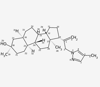 C=C(Cn1cc(C)cn1)[C@H]1CC[C@H]2[C@@H]3CC[C@@H]4C[C@](C)(O)CC[C@@H]4[C@H]3CC[C@]12C